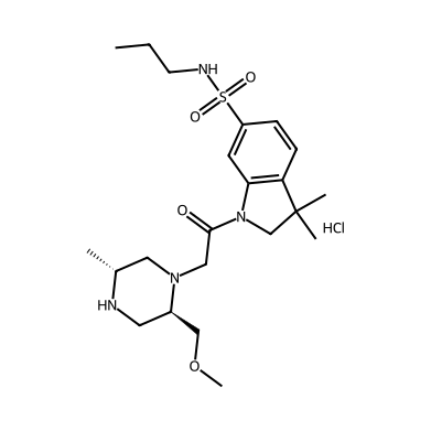 CCCNS(=O)(=O)c1ccc2c(c1)N(C(=O)CN1C[C@@H](C)NC[C@@H]1COC)CC2(C)C.Cl